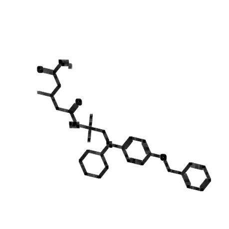 CC(CC(N)=O)CC(=O)NC(C)(C)CN(c1ccc(OCc2ccccc2)cc1)C1CCCCC1